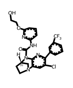 O=C(Nc1cccc(OCCO)n1)N1c2nc(-c3cccc(C(F)(F)F)c3)c(Cl)cc2N2CC[C@H]1C2